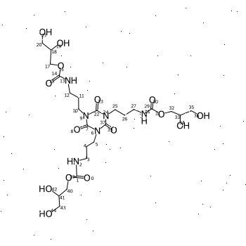 O=C(NCCCn1c(=O)n(CCCNC(=O)OCC(O)CO)c(=O)n(CCCNC(=O)OCC(O)CO)c1=O)OCC(O)CO